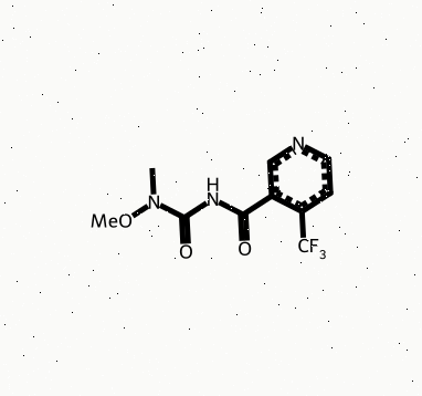 CON(C)C(=O)NC(=O)c1cnccc1C(F)(F)F